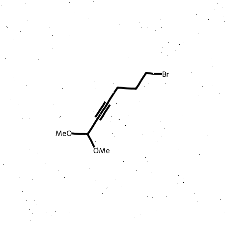 COC(C#CCCCBr)OC